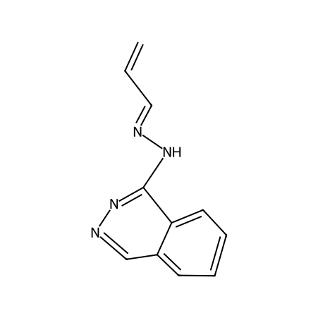 C=CC=NNc1nncc2ccccc12